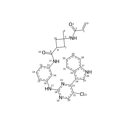 C=CC(=O)NC1(C)CC(C(=O)Nc2cccc(Nc3ncc(Cl)c(-c4c[nH]c5ccccc45)n3)c2)C1